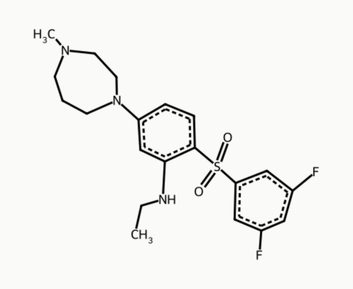 CCNc1cc(N2CCCN(C)CC2)ccc1S(=O)(=O)c1cc(F)cc(F)c1